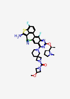 COC1CN(C(=O)N2CC3(CCCN(c4nc(O[C@@H](C)[C@@H]5CCCN5C)nc5c(F)c(-c6ccc(F)c7sc(N)c(C#N)c67)c(Cl)cc45)C3)C2)C1